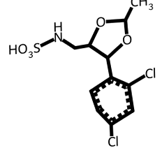 CC1OC(CNS(=O)(=O)O)C(c2ccc(Cl)cc2Cl)O1